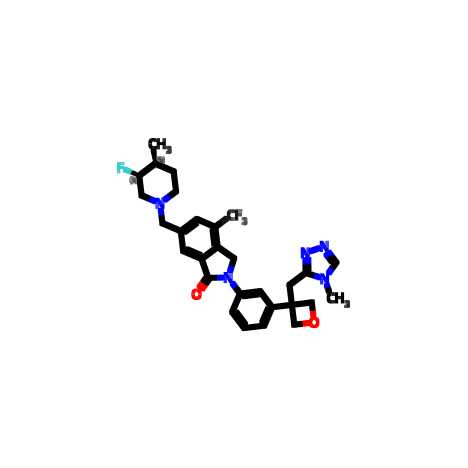 C[C@H]1CCN(Cc2cc3c(c(C(F)(F)F)c2)CN(c2cccc(C4(Cc5nncn5C)COC4)c2)C3=O)C[C@H]1F